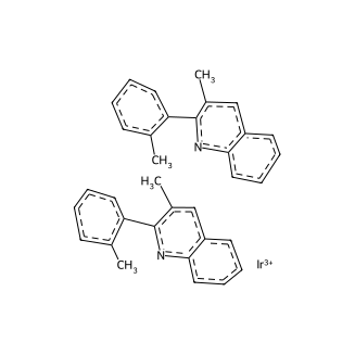 Cc1ccccc1-c1nc2ccccc2cc1C.Cc1ccccc1-c1nc2ccccc2cc1C.[Ir+3]